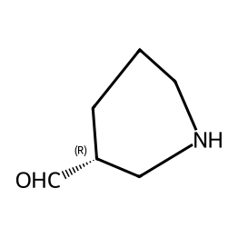 O=C[C@@H]1CCCNC1